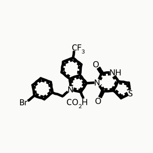 O=C(O)c1c(-n2c(=O)[nH]c3cscc3c2=O)c2cc(C(F)(F)F)ccc2n1Cc1cccc(Br)c1